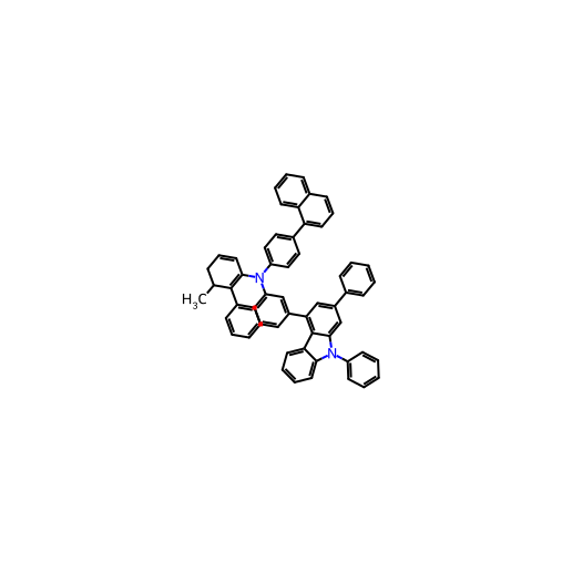 CC1CC=CC(N(c2ccc(-c3cccc4ccccc34)cc2)c2cccc(-c3cc(-c4ccccc4)cc4c3c3ccccc3n4-c3ccccc3)c2)=C1c1ccccc1